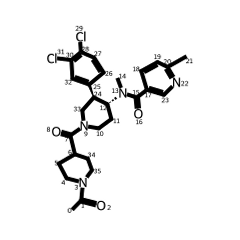 CC(=O)N1CCC(C(=O)N2CC[C@@H](N(C)C(=O)c3ccc(C)nc3)[C@H](c3ccc(Cl)c(Cl)c3)C2)CC1